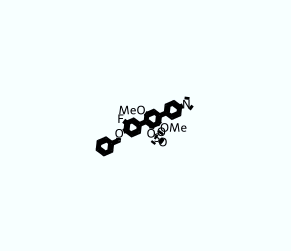 COc1cc(-c2ccc(N(C)C)cc2)c(OC)c(OS(C)(=O)=O)c1-c1ccc(OCc2ccccc2)c(F)c1